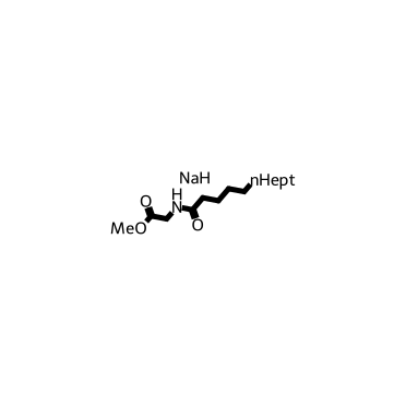 CCCCCCCCCCCC(=O)NCC(=O)OC.[NaH]